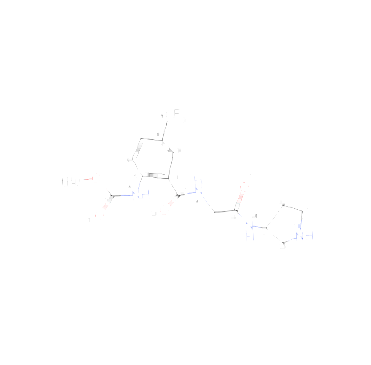 CC(C)(C)OC(=O)Nc1ccc(C(F)(F)F)cc1C(=O)NCC(=O)NC1CCNC1